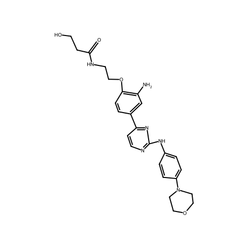 Nc1cc(-c2ccnc(Nc3ccc(N4CCOCC4)cc3)n2)ccc1OCCNC(=O)CCO